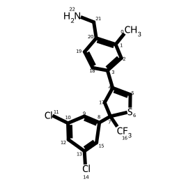 Cc1cc(C2=CSC(c3cc(Cl)cc(Cl)c3)(C(F)(F)F)C2)ccc1CN